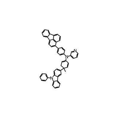 CC1(c2ccc3c(c2)c2ccccc2n3-c2ccccc2)C=CC(N(c2ccc(-c3ccc4c5c(cccc35)-c3ccccc3-4)cc2)c2cccnc2)=CC1